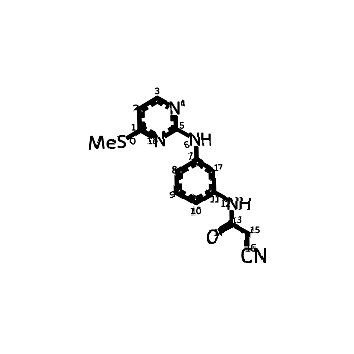 CSc1ccnc(Nc2cccc(NC(=O)CC#N)c2)n1